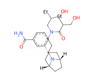 CCC(CC)CN(CCCN1[C@@H]2CC[C@H]1C[C@@H](c1cccc(C(N)=O)c1)C2)C(=O)C(CO)CO